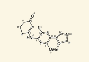 COc1cc(NC2=CC(=O)CCC2)c(I)cc1-c1cnco1